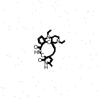 CCN1CCC(N(CC)c2cccc3c2CC=CCCc2cc(C)[nH]c(=O)c2CNC3=O)CC1